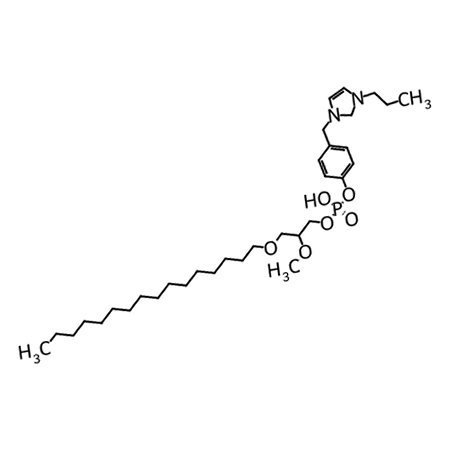 CCCCCCCCCCCCCCCCOCC(COP(=O)(O)Oc1ccc(CN2C=CN(CCC)C2)cc1)OC